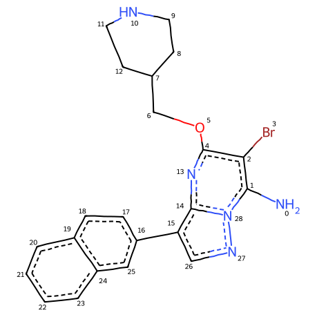 Nc1c(Br)c(OCC2CCNCC2)nc2c(-c3ccc4ccccc4c3)cnn12